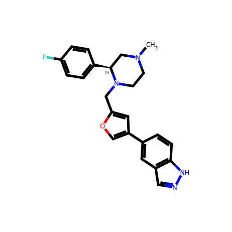 CN1CCN(Cc2cc(-c3ccc4[nH]ncc4c3)co2)[C@@H](c2ccc(F)cc2)C1